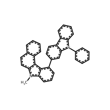 Cn1c2cccc(-c3ccc4c5ccccc5n(-c5ccccc5)c4c3)c2c2c3ccccc3ccc21